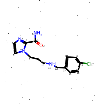 NC(=O)c1n[c]cn1CCCNCc1ccc(Cl)cc1